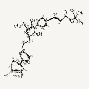 CC1(C)OC[C@H](CCc2ccc(-c3c(C#N)c(N)nc(SCc4coc(-c5ccc(F)c(F)c5)n4)c3C#N)cc2)O1